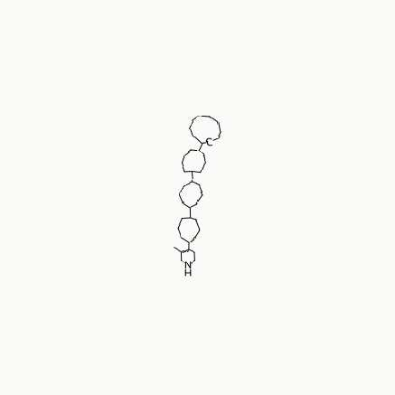 CC1=C(C2CCCC(C3CCCC(C4CCCCC(C5CCCCCCCCC5)CCC4)CCC3)CCC2)CCNC1